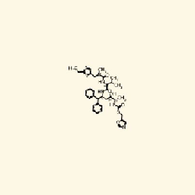 CCc1nc(CN(C)C(=O)N[C@H](C(=O)N[C@@H](C[C@H](O)[C@H](C)NC(=O)OCc2cnco2)C(c2ccccc2)c2ccccc2)C(C)C)cs1